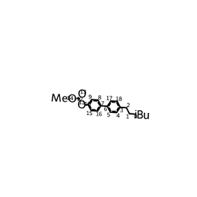 CCC(C)CCc1ccc(-c2ccc(OC(=O)OC)cc2)cc1